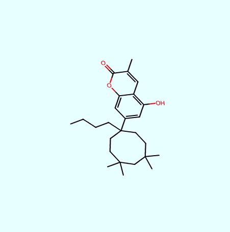 CCCCC1(c2cc(O)c3cc(C)c(=O)oc3c2)CCC(C)(C)CC(C)(C)CC1